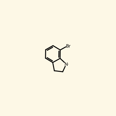 Brc1cccc2c1[N]CC2